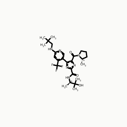 C[C@H]1CCCN1C(=O)c1nc(C(=O)N[C@H](C)C(C)(C)O)sc1-c1cnc(NCC(C)(C)C)cc1C(F)(F)F